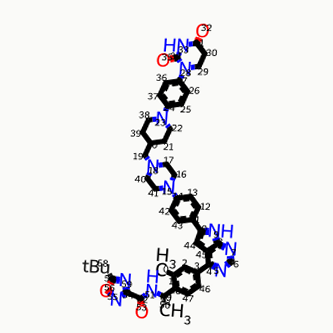 Cc1cc(-c2ncnc3[nH]c(-c4ccc(N5CCN(CC6CCN(c7ccc(N8CCC(=O)NC8=O)cc7)CC6)CC5)cc4)cc23)ccc1[C@@H](C)NC(=O)c1noc(C(C)(C)C)n1